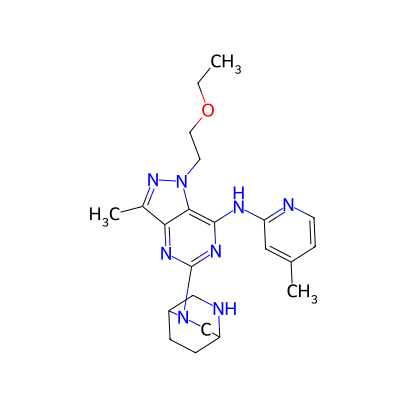 CCOCCn1nc(C)c2nc(N3CC4CCC3CN4)nc(Nc3cc(C)ccn3)c21